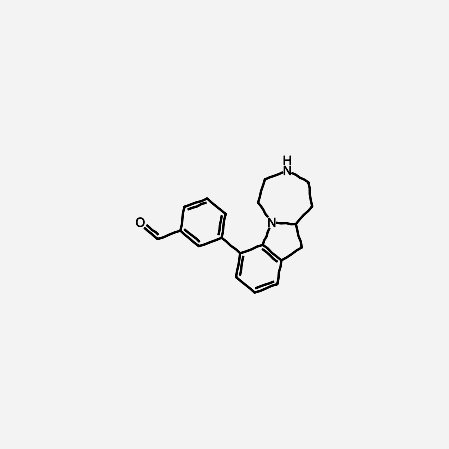 O=Cc1cccc(-c2cccc3c2N2CCNCCC2C3)c1